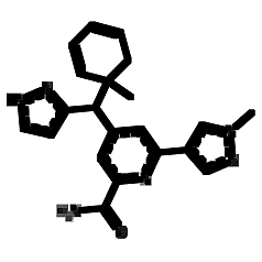 Cn1cc(-c2cc(C(c3cc[nH]n3)C3(C)C=CC=CC3)cc(C(N)=O)n2)cn1